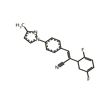 Cc1ccn(-c2ccc(/C=C(\C#N)C3CC(F)=CC=C3F)cc2)n1